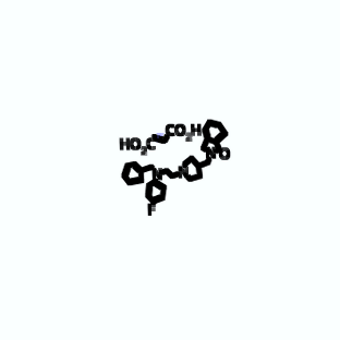 O=C(O)/C=C/C(=O)O.O=C1c2ccccc2CN1CC1CCN(CCN(Cc2ccccc2)c2ccc(F)cc2)CC1